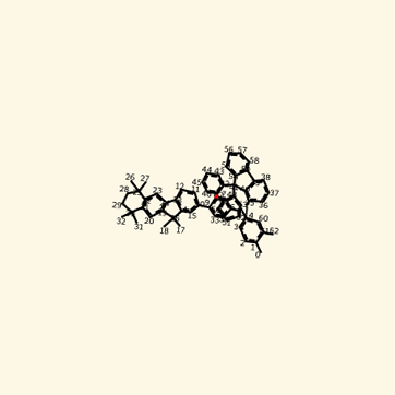 Cc1ccc(N(c2ccc(-c3ccc4c(c3)C(C)(C)c3cc5c(cc3-4)C(C)(C)CCC5(C)C)cc2)c2cccc3c2C(c2ccccc2)(c2ccccc2)c2ccccc2-3)cc1C